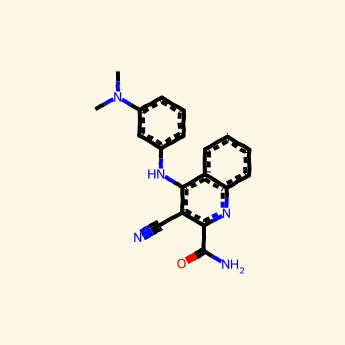 CN(C)c1cccc(Nc2c(C#N)c(C(N)=O)nc3cc[c]cc23)c1